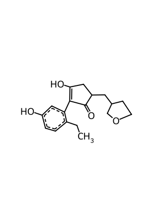 CCc1ccc(O)cc1C1=C(O)CC(CC2CCOC2)C1=O